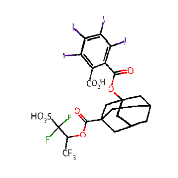 O=C(O)c1c(I)c(I)c(I)c(I)c1C(=O)OC12CC3CC(C1)CC(C(=O)OC(C(F)(F)F)C(F)(F)S(=O)(=O)O)(C3)C2